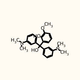 COc1cccc(C(O)(c2cccc(N(C)C)c2)c2cccc(N(C)C)c2)c1O